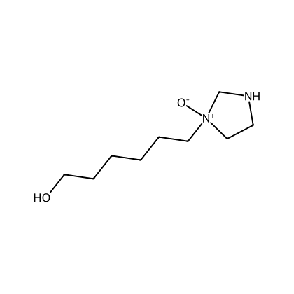 [O-][N+]1(CCCCCCO)CCNC1